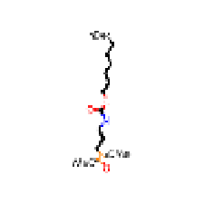 CCCCCCCCCCCCCCCCOC(=O)NCCCP(=O)(OC)OC